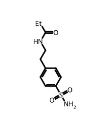 CCC(=O)NCCc1ccc(S(N)(=O)=O)cc1